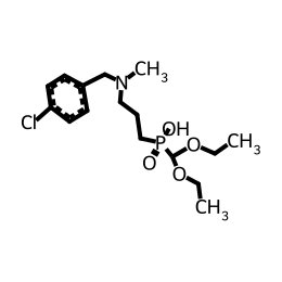 CCOC(OCC)P(=O)(O)CCCN(C)Cc1ccc(Cl)cc1